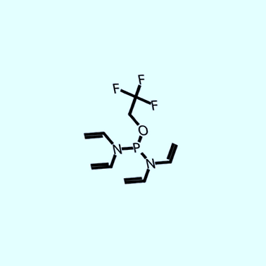 C=CN(C=C)P(OCC(F)(F)F)N(C=C)C=C